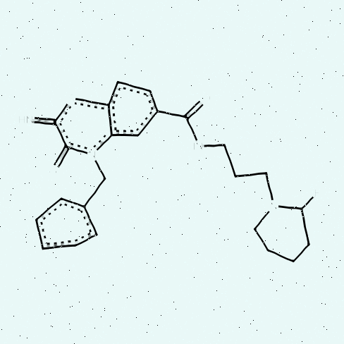 CCC1CCCCN1CCCNC(=O)c1ccc2sc(=N)c(=O)n(Cc3ccccc3)c2c1